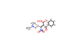 CN(C)CCC(=C(C(=O)O)C(=O)c1ccccc1)[N+](=O)[O-]